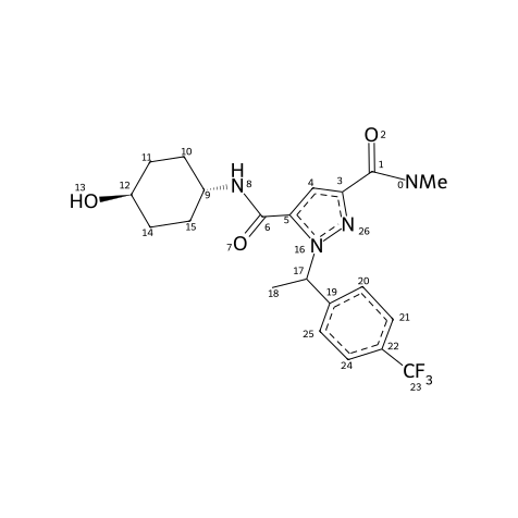 CNC(=O)c1cc(C(=O)N[C@H]2CC[C@H](O)CC2)n(C(C)c2ccc(C(F)(F)F)cc2)n1